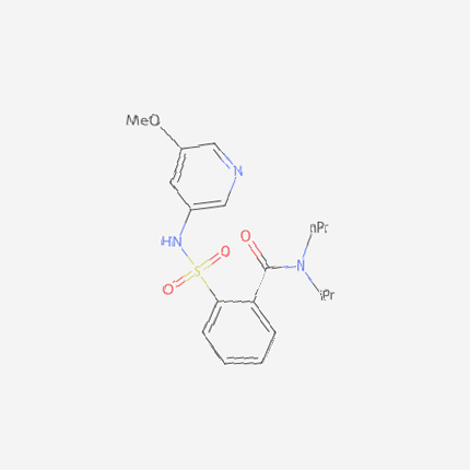 CCCN(C(=O)c1ccccc1S(=O)(=O)Nc1cncc(OC)c1)C(C)C